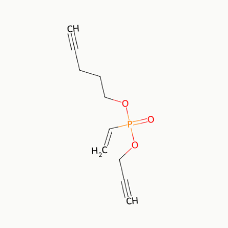 C#CCCCOP(=O)(C=C)OCC#C